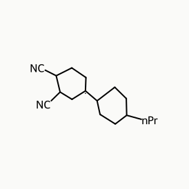 CCCC1CCC([C]2CCC(C#N)C(C#N)C2)CC1